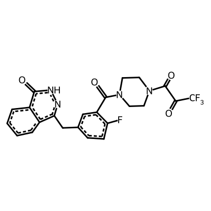 O=C(C(=O)C(F)(F)F)N1CCN(C(=O)c2cc(Cc3n[nH]c(=O)c4ccccc34)ccc2F)CC1